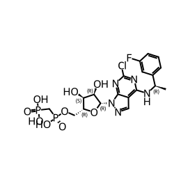 C[C@@H](Nc1nc(Cl)nc2c1cnn2[C@@H]1O[C@H](COP(=O)(O)CP(=O)(O)O)[C@@H](O)[C@H]1O)c1cccc(F)c1